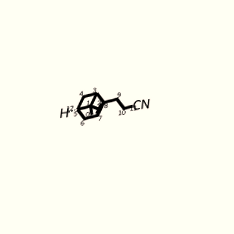 CC1(C)C2C[C@@H]1CC=C2CCC#N